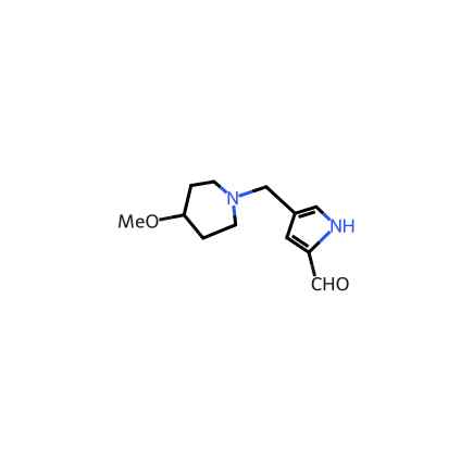 COC1CCN(Cc2c[nH]c(C=O)c2)CC1